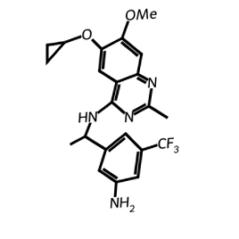 COc1cc2nc(C)nc(NC(C)c3cc(N)cc(C(F)(F)F)c3)c2cc1OC1CC1